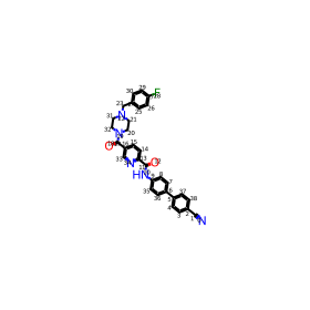 N#Cc1ccc(-c2ccc(NC(=O)c3ccc(C(=O)N4CCN(Cc5ccc(F)cc5)CC4)cn3)cc2)cc1